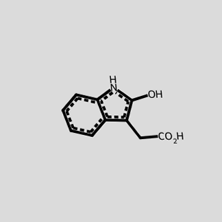 O=C(O)Cc1c(O)[nH]c2ccccc12